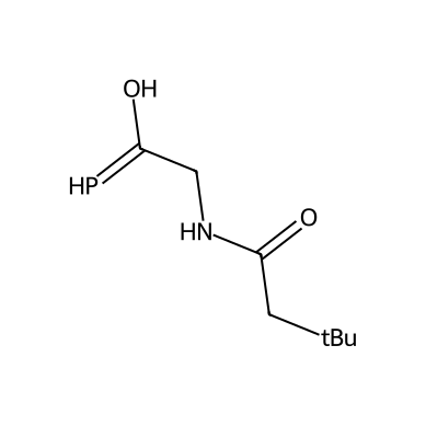 CC(C)(C)CC(=O)NCC(O)=P